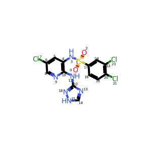 O=S(=O)(Nc1cc(Cl)cnc1Nc1nc[nH]n1)c1ccc(Cl)c(Cl)c1